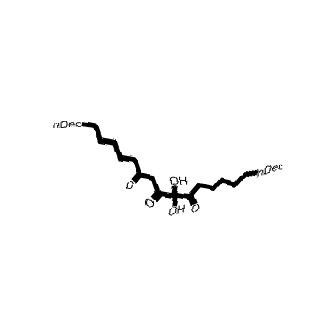 CCCCCCCCCCCCCCCC(=O)CC(=O)C(O)(O)C(=O)CCCCCCCCCCCCCCC